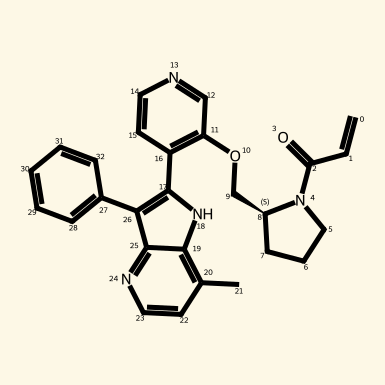 C=CC(=O)N1CCC[C@H]1COc1cnccc1-c1[nH]c2c(C)ccnc2c1-c1ccccc1